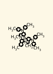 Cc1ccc(N(c2ccc(C)cc2)c2ccc3c4c2cc(C)n4-c2cc4cc(C)ccc4c4c2B3c2ccc(N(c3ccc(C)cc3)c3ccc(C)cc3)c3cc(C)n-4c23)cc1